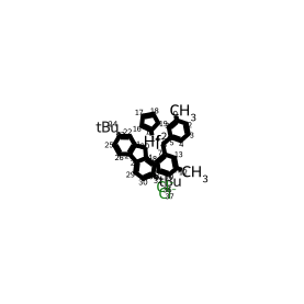 Cc1cccc([C](c2cccc(C)c2)=[Hf+2]([C]2=CC=CC2)[CH]2c3cc(C(C)(C)C)ccc3-c3ccc(C(C)(C)C)cc32)c1.[Cl-].[Cl-]